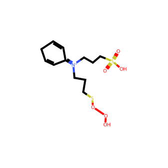 O=S(=O)(O)CCC[N+](CCCSOOO)=C1C=CCC=C1